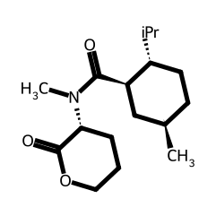 CC(C)[C@@H]1CC[C@@H](C)C[C@H]1C(=O)N(C)[C@@H]1CCCOC1=O